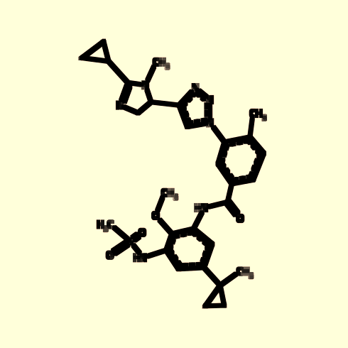 COc1c(NC(=O)c2ccc(C)c(-n3cc(C4CN=C(C5CC5)N4C)nn3)c2)cc(C2(C)CC2)cc1NS(C)(=O)=O